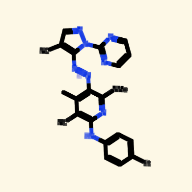 CCc1ccc(Nc2nc(NC)c(/N=N/c3c(C#N)cnn3-c3ncccn3)c(C)c2C#N)cc1